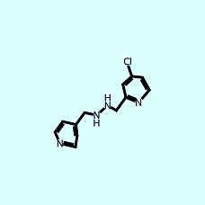 Clc1ccnc(CNNCc2ccncc2)c1